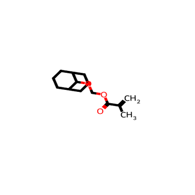 C=C(C)C(=O)OCOC1C2CCCC1CCC2